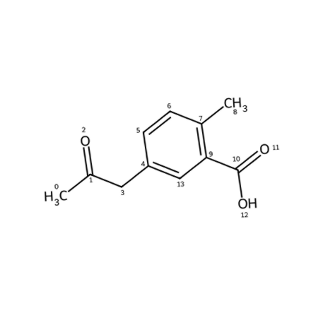 CC(=O)Cc1ccc(C)c(C(=O)O)c1